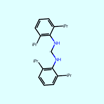 CC(C)c1cccc(C(C)C)c1N[C]Nc1c(C(C)C)cccc1C(C)C